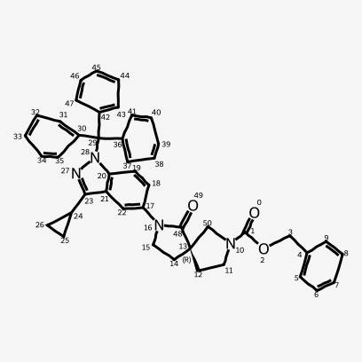 O=C(OCc1ccccc1)N1CC[C@]2(CCN(c3ccc4c(c3)c(C3CC3)nn4C(c3ccccc3)(c3ccccc3)c3ccccc3)C2=O)C1